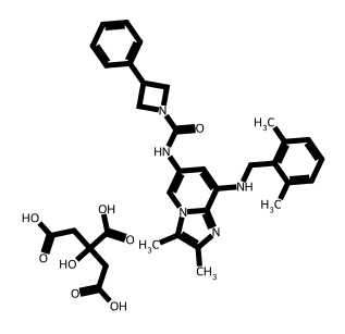 Cc1cccc(C)c1CNc1cc(NC(=O)N2CC(c3ccccc3)C2)cn2c(C)c(C)nc12.O=C(O)CC(O)(CC(=O)O)C(=O)O